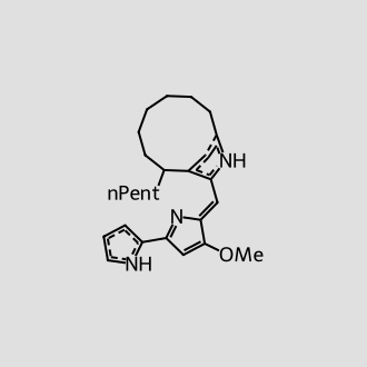 CCCCCC1CCCCCCc2cc1c(C=C1N=C(c3ccc[nH]3)C=C1OC)[nH]2